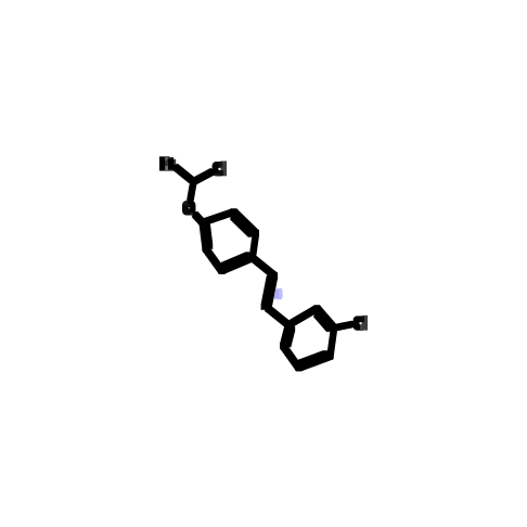 CCC(Cl)Oc1ccc(/C=C/c2cccc(Cl)c2)cc1